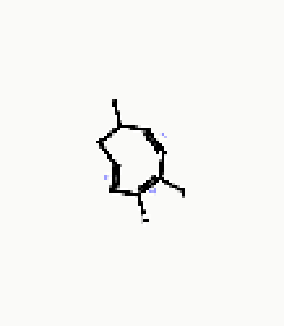 CC1\C=C/C(I)=C(F)\C=C\C1